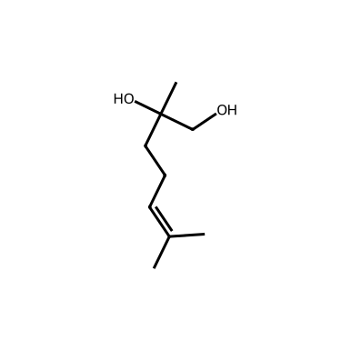 CC(C)=CCCC(C)(O)CO